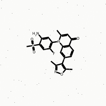 Cc1noc(C)c1-c1ccc2c(=O)cc(C)n(-c3cc(N)c(S(C)(=O)=O)cc3F)c2c1